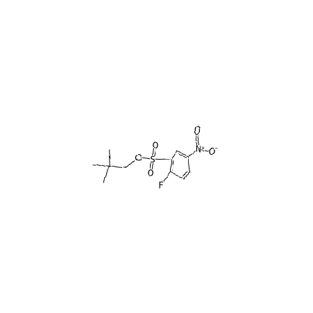 CC(C)(C)COS(=O)(=O)c1cc([N+](=O)[O-])ccc1F